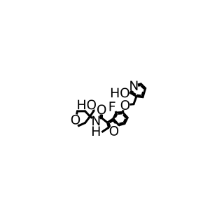 Cc1oc2ccc(OCc3cccnc3O)c(F)c2c1C(=O)NC1(CO)CCOCC1